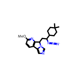 COc1ccc2c(n1)C(CC(N=[N+]=[N-])C1CCC(C)(C)CC1)n1cncc1-2